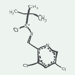 CC(C)(C)[S+]([O-])N=Cc1ncc(Cl)cc1Cl